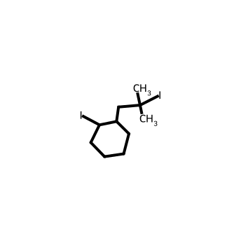 CC(C)(I)CC1CCCCC1I